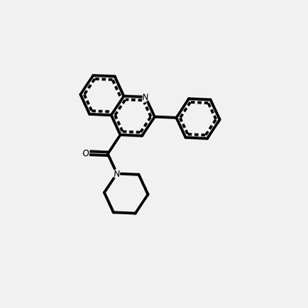 O=C(c1cc(-c2ccccc2)nc2ccccc12)N1CCCCC1